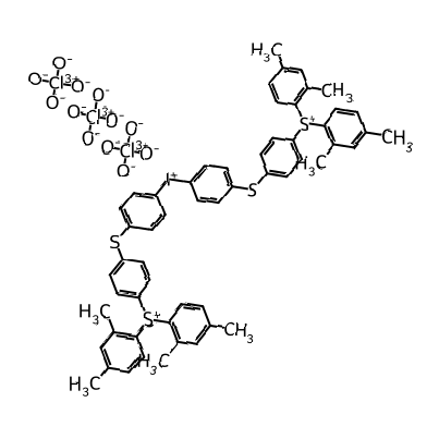 Cc1ccc([S+](c2ccc(Sc3ccc([I+]c4ccc(Sc5ccc([S+](c6ccc(C)cc6C)c6ccc(C)cc6C)cc5)cc4)cc3)cc2)c2ccc(C)cc2C)c(C)c1.[O-][Cl+3]([O-])([O-])[O-].[O-][Cl+3]([O-])([O-])[O-].[O-][Cl+3]([O-])([O-])[O-]